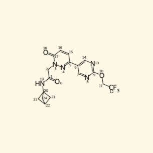 O=C(Cn1nc(-c2cnc(OCC(F)(F)F)nc2)ccc1=O)NC12CC(C1)C2